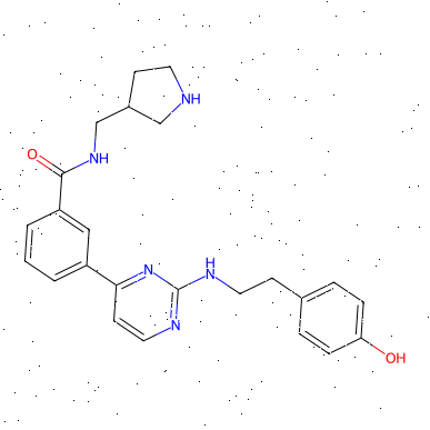 O=C(NCC1CCNC1)c1cccc(-c2ccnc(NCCc3ccc(O)cc3)n2)c1